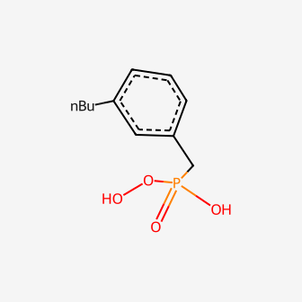 CCCCc1cccc(CP(=O)(O)OO)c1